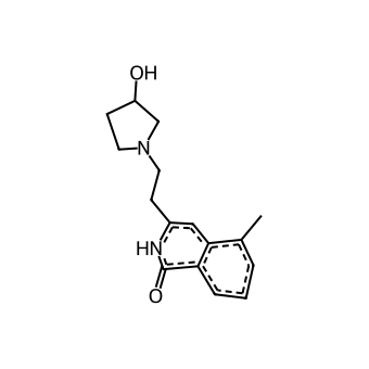 Cc1cccc2c(=O)[nH]c(CCN3CCC(O)C3)cc12